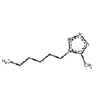 [CH2]c1nnnn1CCCCCC